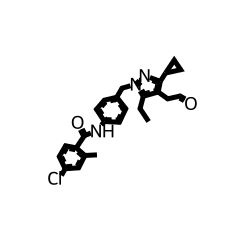 CCc1c(CC=O)c(C2CC2)nn1Cc1ccc(NC(=O)c2ccc(Cl)cc2C)cc1